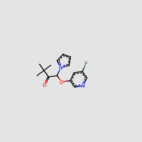 CC(C)(C)C(=O)C(Oc1cncc(F)c1)n1cccc1